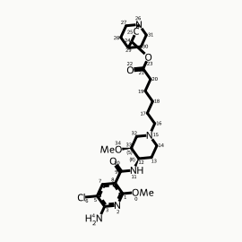 COc1nc(N)c(Cl)cc1C(=O)N[C@@H]1CCN(CCCCCC(=O)OC2CN3CCC2CC3)C[C@@H]1OC